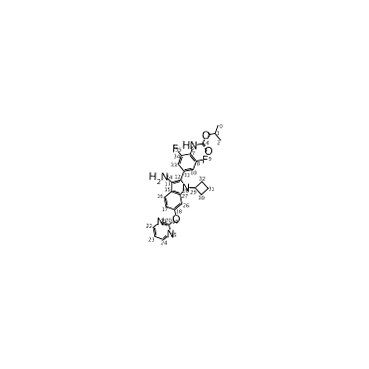 CC(C)OC(=O)Nc1c(F)cc(-c2c(N)c3ccc(Oc4ncccn4)cc3n2C2CCC2)cc1F